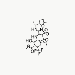 CC[C@@H](NC1=NS(=O)(=O)C(C2OC(C)O2)=C1Nc1ccc(C(F)(F)F)c(C(=O)N(C)C)c1O)c1ccc(C)o1